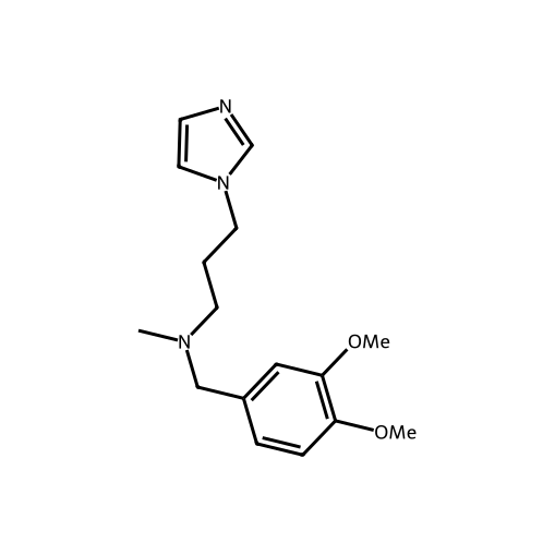 COc1ccc(CN(C)CCCn2ccnc2)cc1OC